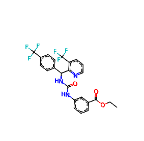 CCOC(=O)c1cccc(NC(=O)N[C@@H](c2ccc(C(F)(F)F)cc2)c2ncccc2C(F)(F)F)c1